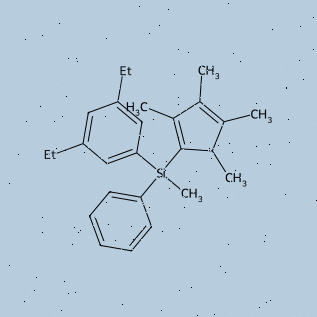 CCc1cc(CC)cc([Si](C)(C2=C(C)C(C)=C(C)C2C)c2ccccc2)c1